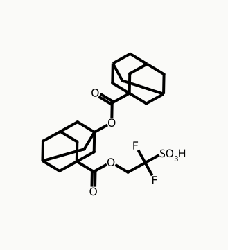 O=C(OCC(F)(F)S(=O)(=O)O)C12CC3CC(CC(OC(=O)C45CC6CC(CC(C6)C4)C5)(C3)C1)C2